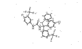 O=C(Nc1ccc(F)c(C(F)(F)F)c1)NC(Cc1ccccc1)(c1cccc(C(F)(F)F)c1)c1ccc(Cl)cn1